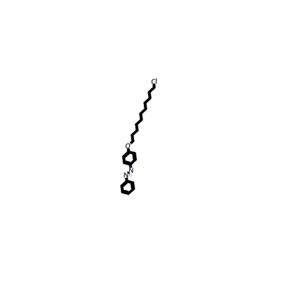 ClCCCCCCCCCCCOc1ccc(/N=N/c2ccccc2)cc1